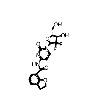 O=C(Nc1ccn(C2O[C@H](CO)[C@@H](O)C2(F)F)c(=O)n1)c1cccc2c1OCC2